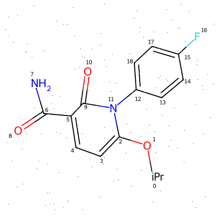 CC(C)Oc1ccc(C(N)=O)c(=O)n1-c1ccc(F)cc1